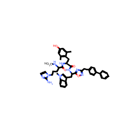 Cc1cc(O)cc(C)c1CC(NC(=O)C(CCCn1ccnc1N)NC(=O)O)C(=O)NC(Cc1cn(C)c2ccccc12)c1nc(Cc2ccc(-c3ccccc3)cc2)no1